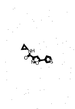 O=C(NC1CC1)c1cc(-c2ccsc2)on1